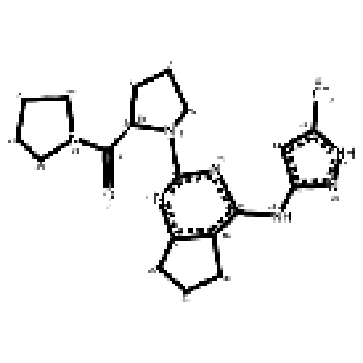 O=C([C@H]1CCCN1c1nc2c(c(Nc3cc(C(F)(F)F)[nH]n3)n1)CCC2)N1CCCC1